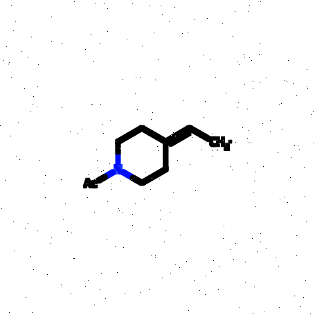 [CH2]C=C1CCN(C(C)=O)CC1